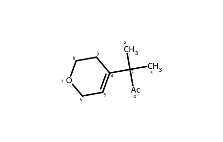 CC(=O)C(C)(C)C1=CCOCC1